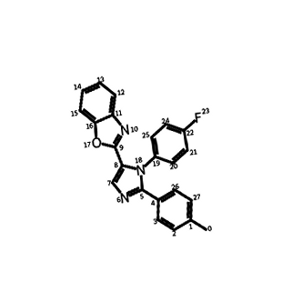 Cc1ccc(-c2ncc(-c3nc4ccccc4o3)n2-c2ccc(F)cc2)cc1